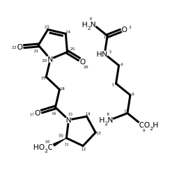 NC(=O)NCCCC(N)C(=O)O.O=C(O)[C@@H]1CCCN1C(=O)CCN1C(=O)C=CC1=O